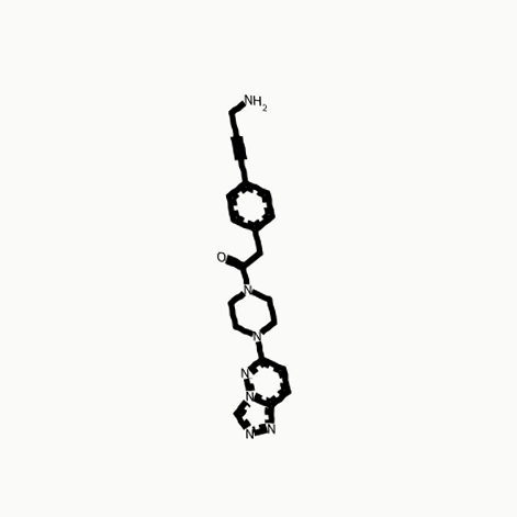 NCC#Cc1ccc(CC(=O)N2CCN(c3ccc4nncn4n3)CC2)cc1